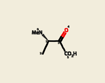 CN[C@@H](C)C(=O)C(=O)O